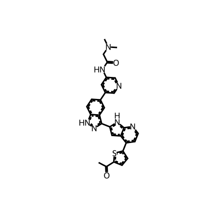 CC(=O)c1ccc(-c2ccnc3[nH]c(-c4n[nH]c5ccc(-c6cncc(NC(=O)CN(C)C)c6)cc45)cc23)s1